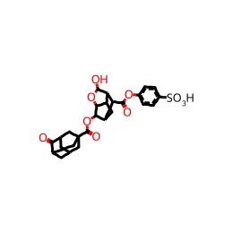 O=C1C2CC3CC1CC(C(=O)OC1C4CC5C1OC(O)C5C4C(=O)Oc1ccc(S(=O)(=O)O)cc1)(C3)C2